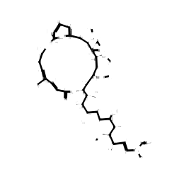 CO[C@H]([C@H](C)/C=C/N(C)C=O)[C@@H](C)C(O)CC[C@H](C)[C@H](O)[C@H](C)[C@H]1OC(=O)/C=C/C(C)=C/C[C@H](O)C[C@@H]2C=CC[C@@H](C[C@H](OC)[C@@]3(CO3)[C@@H](OC)C[C@@H](OC)[C@@H]1C)O2